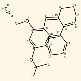 COc1cc(OC(C)C)ccc1/C=C1/CCCN=C1c1cccnc1.Cl.Cl